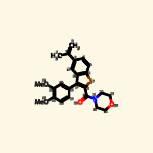 C=C(C)c1ccc2sc(C(=O)N3CCOCC3)c(-c3ccc(OC)c(OC)c3)c2c1